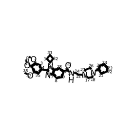 COc1cc(-c2nc3ccc(C(=O)NCCN4CCN(c5ccccc5)CC4)cc3n2C2CCC2)cc(OC)c1OC